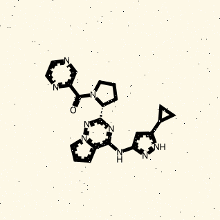 O=C(c1cnccn1)N1CCC[C@@H]1c1nc(Nc2cc(C3CC3)[nH]n2)c2cccn2n1